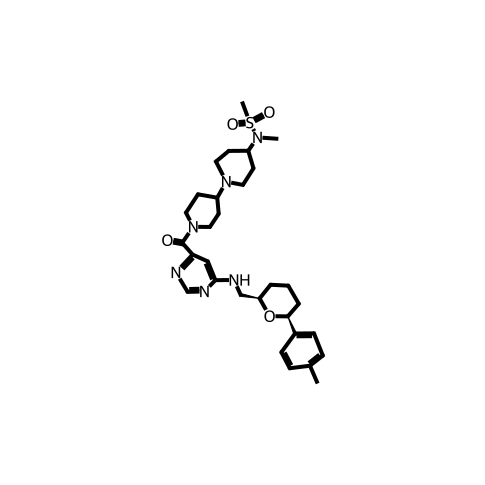 Cc1ccc([C@@H]2CCC[C@H](CNc3cc(C(=O)N4CCC(N5CCC(N(C)S(C)(=O)=O)CC5)CC4)ncn3)O2)cc1